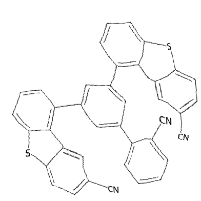 N#Cc1ccc2sc3cccc(-c4cc(-c5ccccc5C#N)cc(-c5cccc6sc7ccc(C#N)cc7c56)c4)c3c2c1